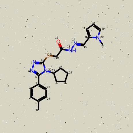 Cc1ccc(-c2nnc(SCC(=O)NN=Cc3cccn3C)n2C2CCCC2)cc1